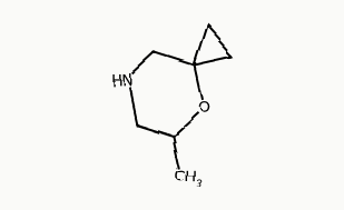 CC1CNCC2(CC2)O1